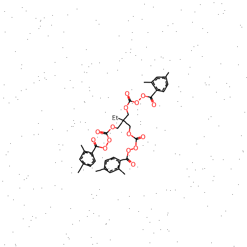 CCC(COC(=O)OOC(=O)c1ccc(C)cc1C)(COC(=O)OOC(=O)c1ccc(C)cc1C)COC(=O)OOC(=O)c1ccc(C)cc1C